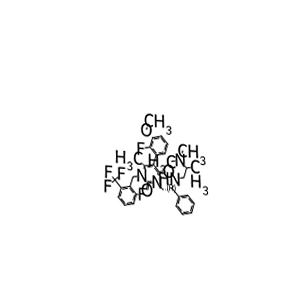 COc1cccc(-c2c(C)n(Cc3c(F)cccc3C(F)(F)F)c(=O)n(C[C@H](NCC(C)N(C)C)c3ccccc3)c2=O)c1F